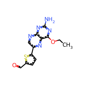 CCOc1nc(N)nc2ncc(-c3ccc(C=O)s3)nc12